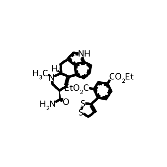 CCOC(=O)c1ccc(C2=CCSS2)c(C(=O)OCC)c1.CN1C[C@H](C(N)=O)C=C2c3cccc4[nH]cc(c34)C[C@H]21